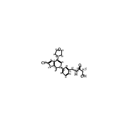 CC1c2sc(Cl)cc2C(N2CCOCC2)=CN1c1cccc(CNC(=O)[C@H](C)O)c1